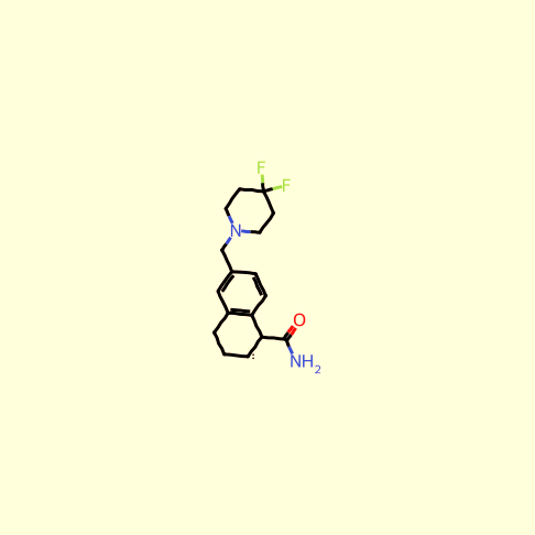 NC(=O)C1[C]CCc2cc(CN3CCC(F)(F)CC3)ccc21